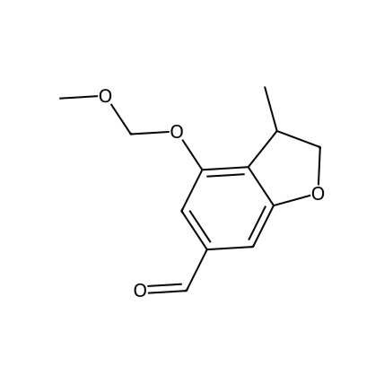 COCOc1cc(C=O)cc2c1C(C)CO2